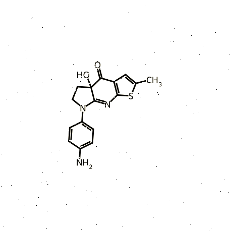 Cc1cc2c(s1)N=C1N(c3ccc(N)cc3)CCC1(O)C2=O